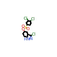 O=S(=O)(Oc1ccc2[nH]nc(Cl)c2c1)c1ccc(Cl)c(Cl)c1